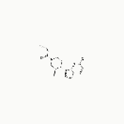 CC(C)(C)OC(=O)N1CC[C@H](n2ccc3cnc(Cl)nc32)[C@@H](F)C1